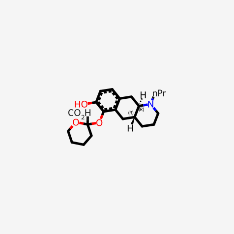 CCCN1CCC[C@@H]2Cc3c(ccc(O)c3OC3(C(=O)O)CCCCO3)C[C@H]21